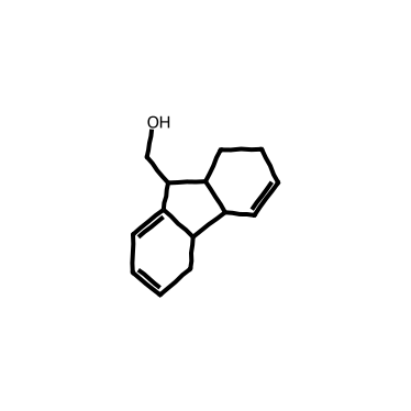 OCC1C2=CC=CCC2C2C=CCCC12